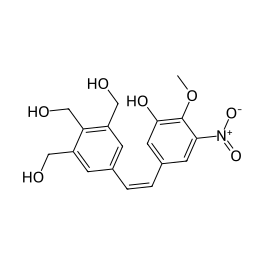 COc1c(O)cc(/C=C\c2cc(CO)c(CO)c(CO)c2)cc1[N+](=O)[O-]